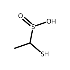 CC(S)S(=O)O